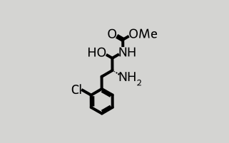 COC(=O)NC(O)[C@H](N)Cc1ccccc1Cl